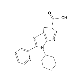 O=C(O)c1cnc2c(c1)nc(-c1ccccn1)n2C1CCCCC1